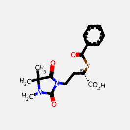 CN1C(=O)N(CC[C@H](SC(=O)c2ccccc2)C(=O)O)C(=O)C1(C)C